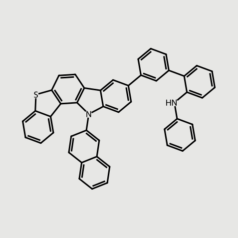 c1ccc(Nc2ccccc2-c2cccc(-c3ccc4c(c3)c3ccc5sc6ccccc6c5c3n4-c3ccc4ccccc4c3)c2)cc1